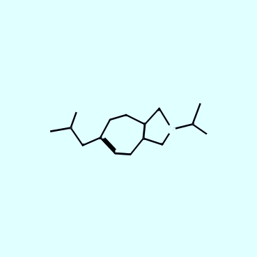 CC(C)CC1=CCC2CN(C(C)C)CC2CC1